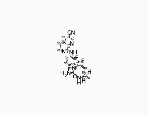 N#Cc1cnc2c(Nc3ccc(F)c([C@]4(C(F)F)C#C[C@H]5C[C@H]5NO/C(N)=N\4)c3)nccc2c1